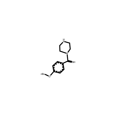 CCCCOc1ccc(C(=N)N2CCNCC2)cc1